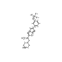 CN(CC1CCNCC1)c1nn2cc(-c3cccc(OC(F)(F)F)c3)nc2s1